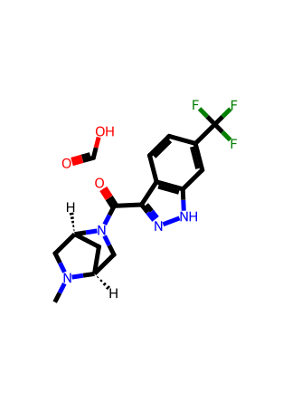 CN1C[C@@H]2C[C@H]1CN2C(=O)c1n[nH]c2cc(C(F)(F)F)ccc12.O=CO